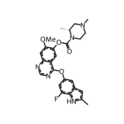 COc1cc2ncnc(Oc3cc(F)c4[nH]c(C)cc4c3)c2cc1OC(=O)N1CCN(C)C[C@H]1C